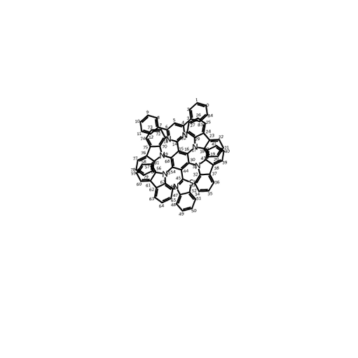 c1ccc(-c2cc(-c3ccccc3)nc(-c3c(-n4c5ccccc5c5ccccc54)c(-n4c5ccccc5c5ccccc54)c(-c4nc5ccccc5s4)c(-n4c5ccccc5c5ccccc54)c3-n3c4ccccc4c4ccccc43)n2)cc1